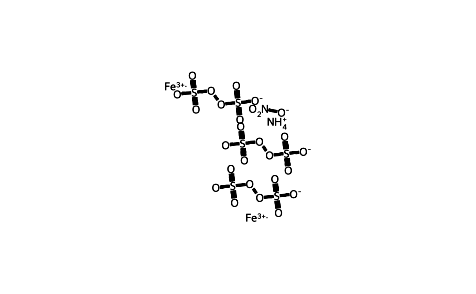 O=S(=O)([O-])OOS(=O)(=O)[O-].O=S(=O)([O-])OOS(=O)(=O)[O-].O=S(=O)([O-])OOS(=O)(=O)[O-].O=[N+]([O-])[O-].[Fe+3].[Fe+3].[NH4+]